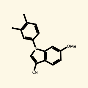 COc1ccc2c(C#N)cn(-c3ccc(C)c(C)c3)c2c1